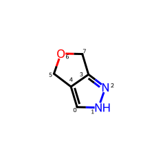 c1[nH]nc2c1COC2